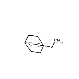 [CH2]CC12CCC(CC1)CC2